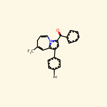 CC(=O)c1ccc(-c2cc(C(=O)c3ccccc3)n3c2C=C(C(F)(F)F)CC=C3)cc1